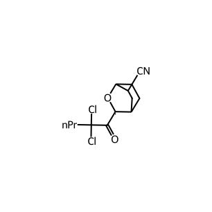 [CH2]CCC(Cl)(Cl)C(=O)[C]1OC2CCC1CC2C#N